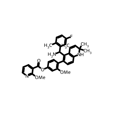 COc1cc(OC(=O)c2cccnc2OC)ccc1-c1ccc2c(c1C(N)c1cc(F)ccc1C)C(C)=CC(C)(C)N2